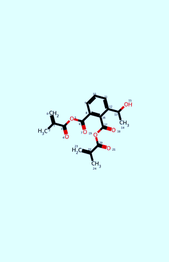 C=C(C)C(=O)OC(=O)c1cccc(C(C)O)c1C(=O)OC(=O)C(=C)C